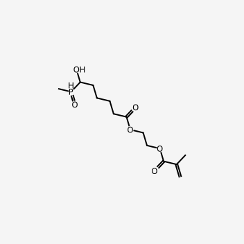 C=C(C)C(=O)OCCOC(=O)CCCCC(O)[PH](C)=O